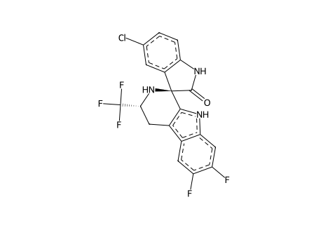 O=C1Nc2ccc(Cl)cc2[C@]12N[C@@H](C(F)(F)F)Cc1c2[nH]c2cc(F)c(F)cc12